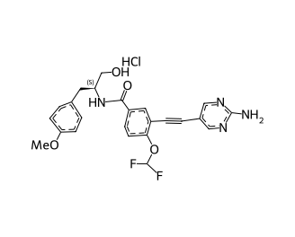 COc1ccc(C[C@@H](CO)NC(=O)c2ccc(OC(F)F)c(C#Cc3cnc(N)nc3)c2)cc1.Cl